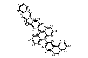 c1ccc2cc3c(cc2c1)oc1cc(-c2c4ccccc4c(-c4ccc5ccc6ccccc6c5c4)c4ccccc24)ccc13